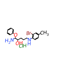 Cc1ccc(NCCCC(O)C(N)Oc2ccccc2)c(Br)c1.Cl